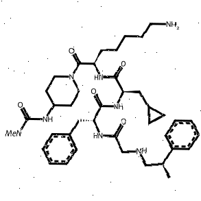 CNC(=O)NC1CCN(C(=O)[C@@H](CCCCCN)NC(=O)[C@@H](CC2CC2)NC(=O)[C@@H](Cc2ccccc2)NC(=O)CNC[C@H](C)c2ccccc2)CC1